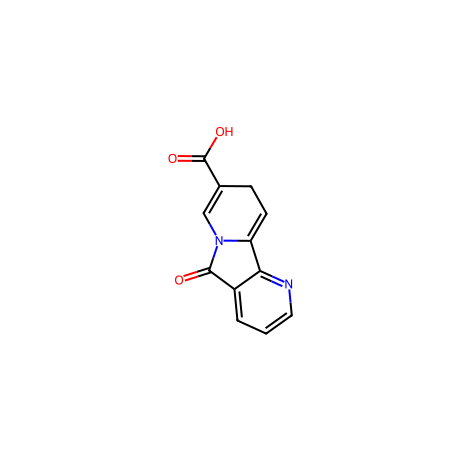 O=C(O)C1=CN2C(=O)c3cccnc3C2=CC1